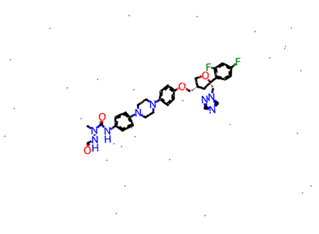 CN(NC=O)C(=O)Nc1ccc(N2CCN(c3ccc(OC[C@@H]4CO[C@@](Cn5cncn5)(c5ccc(F)cc5F)C4)cc3)CC2)cc1